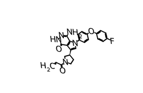 C=CC(=O)N1CC[C@H](c2cn(-c3ccc(Oc4ccc(F)cc4)cc3)c3c(N)n[nH]c(=O)c23)C1